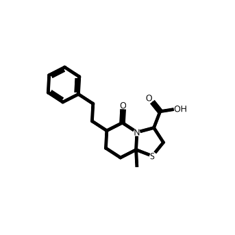 CC12CCC(CCc3ccccc3)C(=O)N1C(C(=O)O)CS2